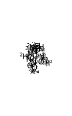 [2H]c1nc(N([C@H]2CN(C(=O)OC(C)(C)C)CC[C@H]2C([2H])([2H])[2H])C([2H])([2H])[2H])c2ccn(C(=O)OC(C)(C)C)c2n1